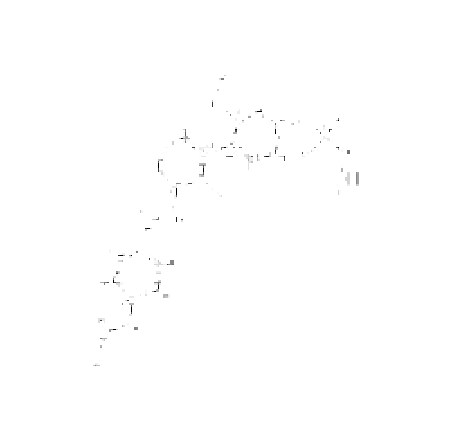 CCc1cc(OC(C)(C)CO)ccc1-c1cccc(COc2ccc(COC)cc2)c1C